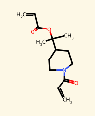 C=CC(=O)OC(C)(C)C1CCN(C(=O)C=C)CC1